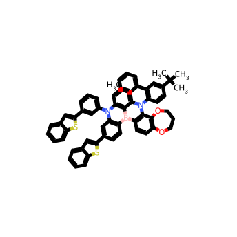 Cc1cc2c3c(c1)N(c1ccc(C(C)(C)C)cc1-c1ccccc1)c1c(ccc4c1OCCCO4)B3c1ccc(-c3cc4ccccc4s3)cc1N2c1cccc(-c2cc3ccccc3s2)c1